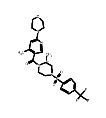 Cc1cc(N2CCOCC2)ncc1C(=O)N1CCN(S(=O)(=O)c2ccc(C(F)(F)F)cc2)C[C@@H]1C